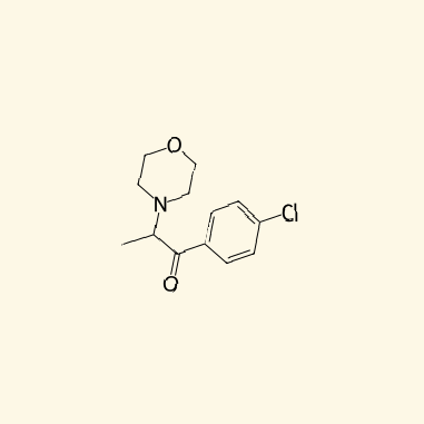 CC(C(=O)c1ccc(Cl)cc1)N1CCOCC1